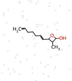 C=CCCCC=CC1OC(O)C1C